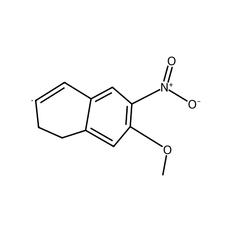 COc1cc2c(cc1[N+](=O)[O-])C=[C]CC2